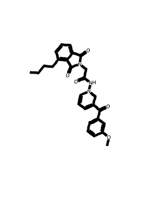 CCCCc1cccc2c1C(=O)N(CC(=O)NN1C=CC=C(C(=O)c3cccc(OC)c3)C1)C2=O